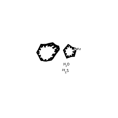 O.S.c1cc[nH]c1.c1ccccc1